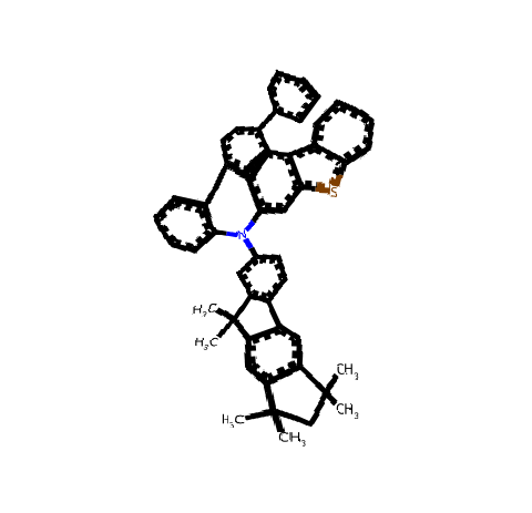 CC1(C)CC(C)(C)c2cc3c(cc21)-c1ccc(N(c2ccc4c(c2)sc2ccccc24)c2ccccc2-c2ccc(-c4ccccc4)cc2)cc1C3(C)C